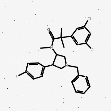 CN(C(=O)C(C)(C)c1cc(Cl)cc(Cl)c1)C1CN(Cc2ccccc2)CC1c1ccc(F)cc1